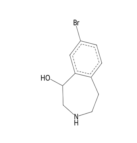 OC1CNCCc2ccc(Br)cc21